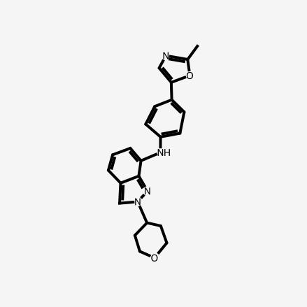 Cc1ncc(-c2ccc(Nc3cccc4cn(C5CCOCC5)nc34)cc2)o1